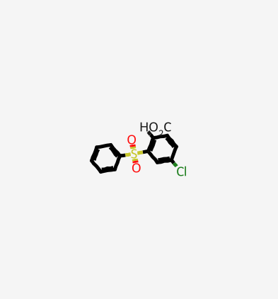 O=C(O)c1ccc(Cl)cc1S(=O)(=O)c1ccccc1